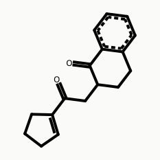 O=C(CC1CCc2ccccc2C1=O)C1=CCCC1